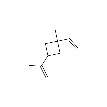 C=CC1(C)CC(C(=C)C)C1